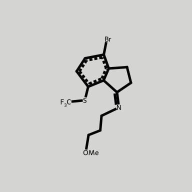 COCCC/N=C1/CCc2c(Br)ccc(SC(F)(F)F)c21